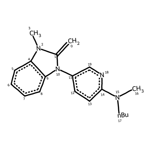 C=C1N(C)c2ccccc2N1c1ccc(N(C)CCCC)nc1